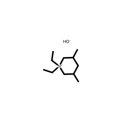 CC[N+]1(CC)CC(C)CC(C)C1.[OH-]